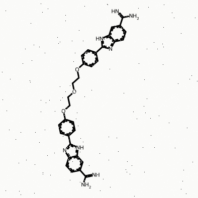 N=C(N)c1ccc2nc(-c3ccc(OCCOCCOc4ccc(-c5nc6ccc(C(=N)N)cc6[nH]5)cc4)cc3)[nH]c2c1